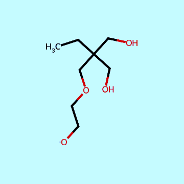 CCC(CO)(CO)COCC[O]